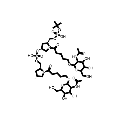 CC(=O)NC1C(OCCCCC(=O)N2C[C@H](C)C[C@H]2COP(=O)(O)O[C@@H]2C[C@@H](COP(=O)(O)OC(C)(C)C)N(C(=O)CCCCOC3OC(CO)C(O)C(O)C3NC(C)=O)C2)OC(CO)C(O)C1O